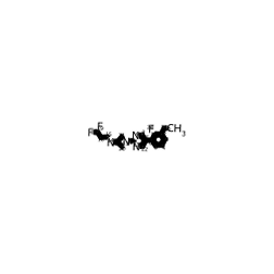 CCc1cccc(-c2cnc(N3CC(=NCCC(F)F)C3)nc2)c1F